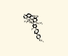 COc1cc(N2CCC(N3CCN(C)CC3)CC2)c(F)cc1Nc1ncc(Br)c(Nc2ccc3nccnc3c2NS(C)(=O)=O)n1